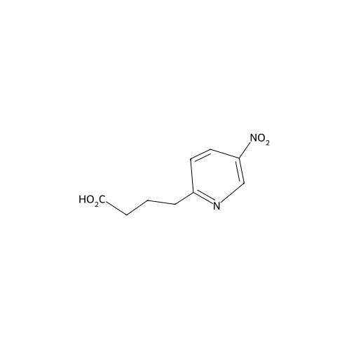 O=C(O)CCCc1ccc([N+](=O)[O-])cn1